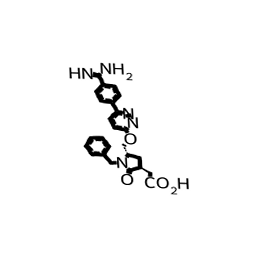 N=C(N)c1ccc(-c2ccc(OC[C@@H]3C[C@@H](CC(=O)O)C(=O)N3Cc3ccccc3)nn2)cc1